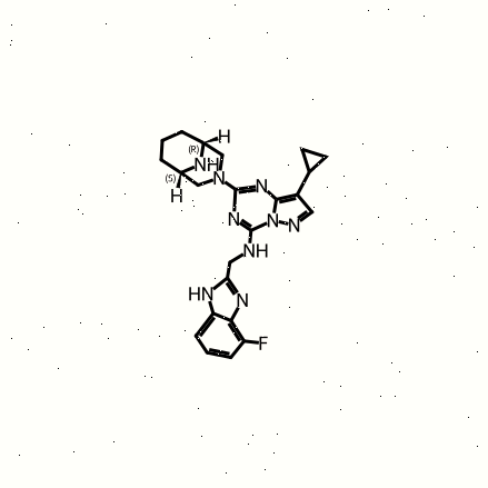 Fc1cccc2[nH]c(CNc3nc(N4C[C@H]5CCC[C@@H](C4)N5)nc4c(C5CC5)cnn34)nc12